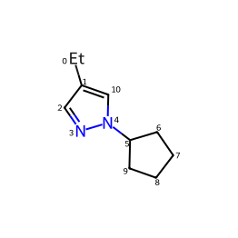 CCc1cnn(C2CCCC2)c1